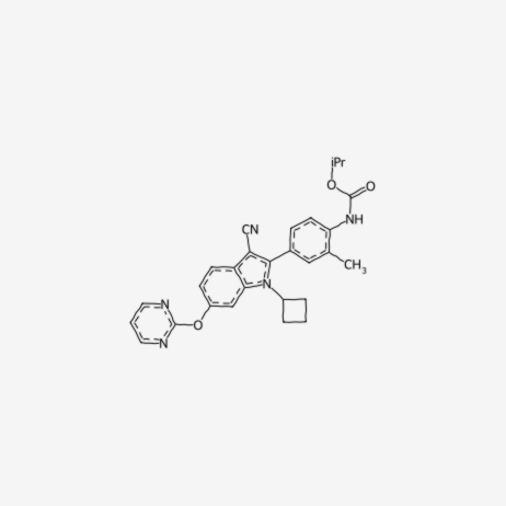 Cc1cc(-c2c(C#N)c3ccc(Oc4ncccn4)cc3n2C2CCC2)ccc1NC(=O)OC(C)C